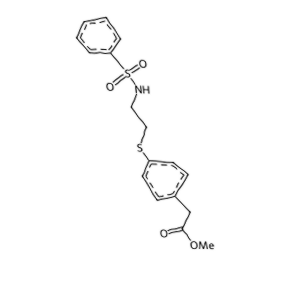 COC(=O)Cc1ccc(SCCNS(=O)(=O)c2ccccc2)cc1